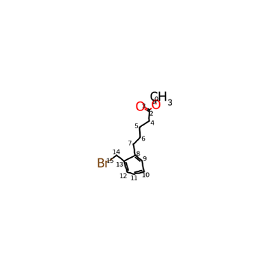 COC(=O)CCCCc1ccccc1CBr